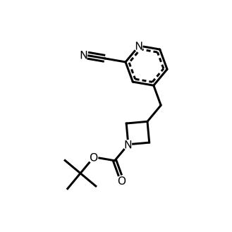 CC(C)(C)OC(=O)N1CC(Cc2ccnc(C#N)c2)C1